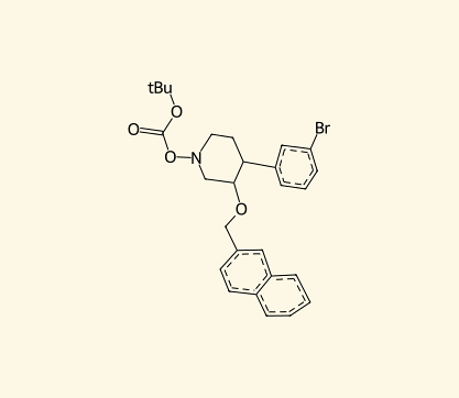 CC(C)(C)OC(=O)ON1CCC(c2cccc(Br)c2)C(OCc2ccc3ccccc3c2)C1